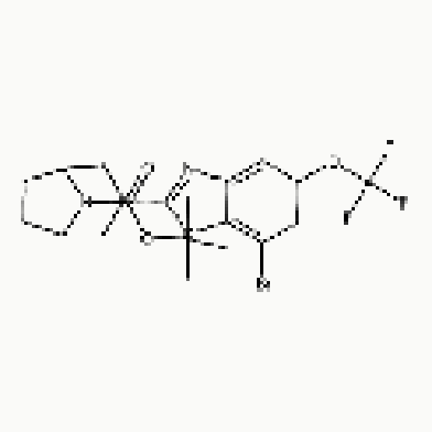 CC(C)(C)OC(=O)N1C2CCC1CN(c1nc3cc(OC(F)(F)F)cc(Br)c3o1)C2